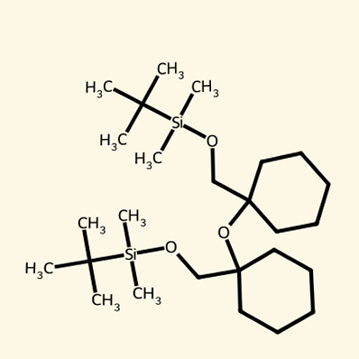 CC(C)(C)[Si](C)(C)OCC1(OC2(CO[Si](C)(C)C(C)(C)C)CCCCC2)CCCCC1